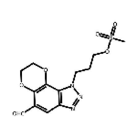 CS(=O)(=O)OCCCn1nnc2cc(C=O)c3c(c21)OCCO3